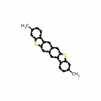 Cc1ccc2c(c1)sc1cc3cc4c(cc3cc12)sc1cc(C)ccc14